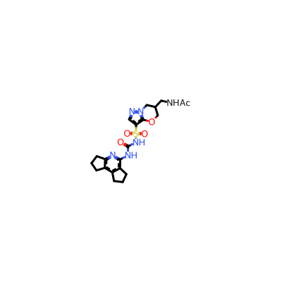 CC(=O)NCC1COc2c(S(=O)(=O)NC(=O)Nc3nc4c(c5c3CCC5)CCC4)cnn2C1